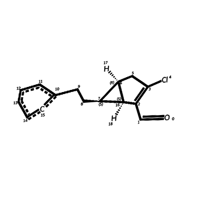 O=CC1=C(Cl)C[C@@H]2[C@H](CCc3ccccc3)[C@H]12